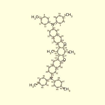 Cc1ccc(N(c2ccc(C)cc2)c2ccc3cc4c(cc3c2)oc2c(C)c3oc5cc6cc(N(c7ccc(C)cc7)c7ccc(C)cc7)ccc6cc5c3c(C)c24)cc1